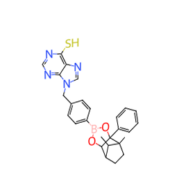 CC1C2CCC1(C)C1(c3ccccc3)OB(c3ccc(Cn4cnc5c(S)ncnc54)cc3)OC21